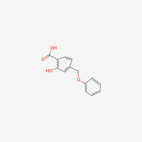 O=C(O)c1ccc(COc2ccccc2)cc1O